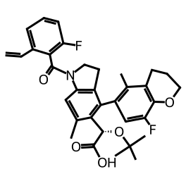 C=Cc1cccc(F)c1C(=O)N1CCc2c1cc(C)c([C@H](OC(C)(C)C)C(=O)O)c2-c1cc(F)c2c(c1C)CCCO2